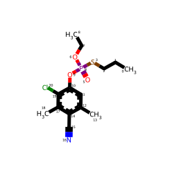 CCCSP(=O)(OCC)Oc1cc(C)c(C#N)c(C)c1Cl